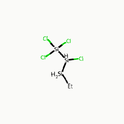 CC[SiH2][SiH](Cl)[Si](Cl)(Cl)Cl